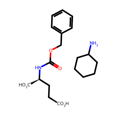 NC1CCCCC1.O=C(O)CC[C@H](NC(=O)OCc1ccccc1)C(=O)O